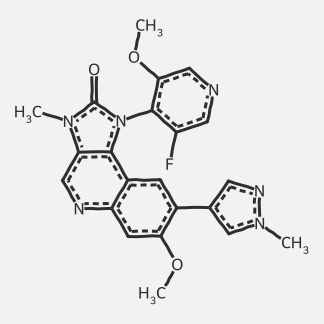 COc1cc2ncc3c(c2cc1-c1cnn(C)c1)n(-c1c(F)cncc1OC)c(=O)n3C